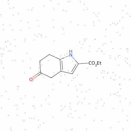 CCOC(=O)c1cc2c([nH]1)CCC(=O)C2